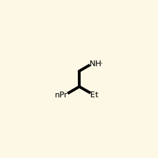 CCCC(CC)C[NH]